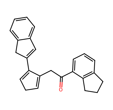 O=C(CC1=CCC=C1C1=Cc2ccccc2C1)c1cccc2c1CCC2